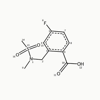 CN(Cc1cc(F)ccc1C(=O)O)S(C)(=O)=O